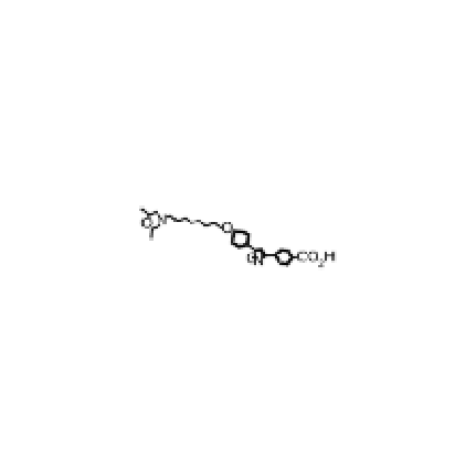 CC1CN(CCCCCCCCOc2ccc(-c3cc(-c4ccc(C(=O)O)cc4)no3)cc2)CC(C)O1